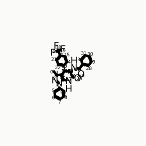 Cc1nn(-c2ccccc2)c2c1[C@@H](c1ccc(C(F)(F)F)cc1)[C@@H](NC(=O)c1ccccc1)C(=O)N2